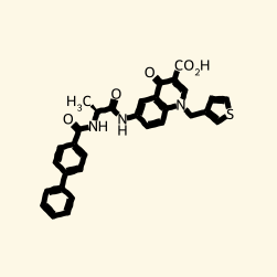 C[C@H](NC(=O)c1ccc(-c2ccccc2)cc1)C(=O)Nc1ccc2c(c1)c(=O)c(C(=O)O)cn2Cc1ccsc1